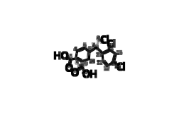 O=C(O)c1ccc([C@H](CCl)c2ccc(Cl)cc2Cl)cc1C(=O)O